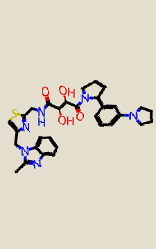 Cc1nc2ccccc2n1Cc1csc(CNC(=O)[C@H](O)[C@@H](O)C(=O)N2CCCC2c2cccc(N3CCCC3)c2)n1